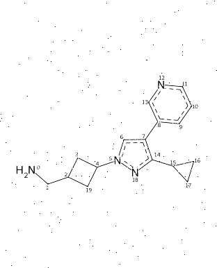 NCC1CC(n2cc(-c3cccnc3)c(C3CC3)n2)C1